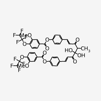 COc1cc(C(=O)Oc2ccc(C=CC(=O)C(C)C(O)(O)C(=O)C=Cc3ccc(OC(=O)c4ccc(OC(F)(F)C(F)F)c(OC)c4)cc3)cc2)ccc1OC(F)(F)C(F)F